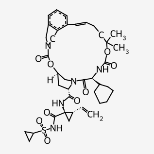 C=C[C@@H]1C[C@]1(NC(=O)[C@@H]1C[C@@H]2CN1C(=O)[C@H](C1CCCCC1)NC(=O)OC(C)(C)CC/C=C/c1cccc3c1CN(C3)C(=O)O2)C(=O)NS(=O)(=O)C1CC1